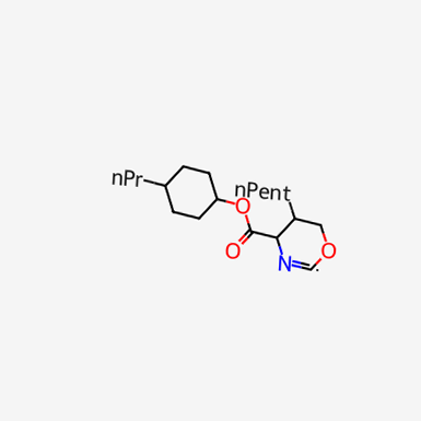 CCCCCC1CO[C]=NC1C(=O)OC1CCC(CCC)CC1